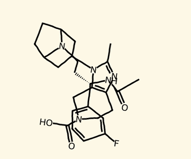 CC(=O)N[C@@H](CCN1C2CCC1CC(n1c(C)nc3c1CN(C(=O)O)CC3)C2)c1cccc(F)c1